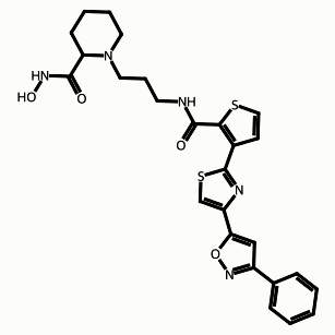 O=C(NCCCN1CCCCC1C(=O)NO)c1sccc1-c1nc(-c2cc(-c3ccccc3)no2)cs1